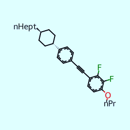 CCCCCCC[C@H]1CC[C@H](c2ccc(C#Cc3ccc(OCCC)c(F)c3F)cc2)CC1